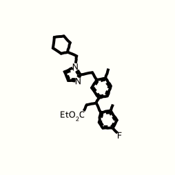 CCOC(=O)CC(c1ccc(C)c(Cc2nccn2CC2CCCCC2)c1)c1ccc(F)cc1C